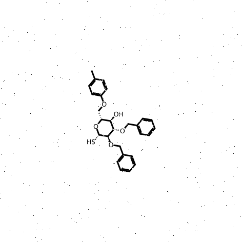 Cc1ccc(OC[C@H]2O[C@@H](S)[C@H](OCc3ccccc3)[C@@H](OCc3ccccc3)[C@@H]2O)cc1